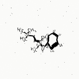 C[Si](C)(C)CC[Si](C)(C)Oc1ccccc1